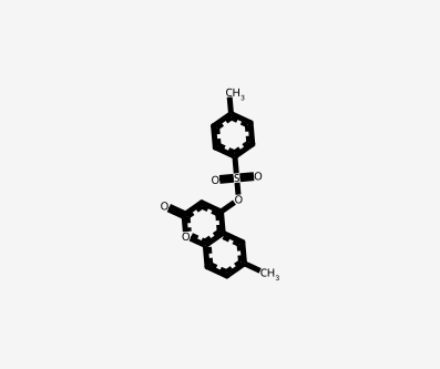 Cc1ccc(S(=O)(=O)Oc2cc(=O)oc3ccc(C)cc23)cc1